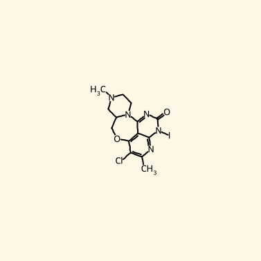 Cc1nc2c3c(nc(=O)n2I)N2CCN(C)CC2COc3c1Cl